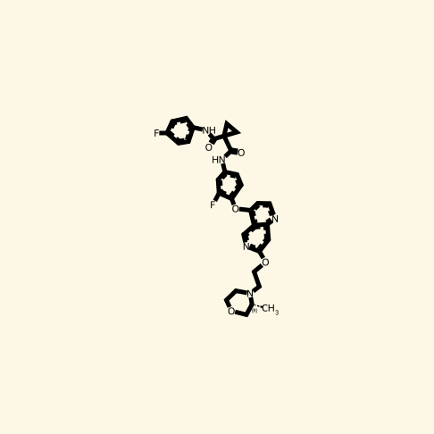 C[C@@H]1COCCN1CCOc1cc2nccc(Oc3ccc(NC(=O)C4(C(=O)Nc5ccc(F)cc5)CC4)cc3F)c2cn1